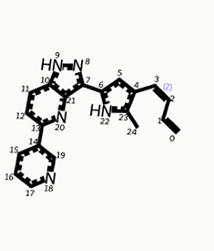 C=C/C=C\c1cc(-c2n[nH]c3ccc(-c4cccnc4)nc23)[nH]c1C